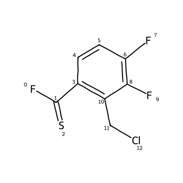 FC(=S)c1ccc(F)c(F)c1CCl